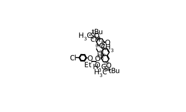 CCC(Oc1ccc(Cl)cc1)C(=O)O[C@H]1C[C@H](O[Si](C)(C)C(C)(C)C)C=C2C=C[C@H](C)[C@H](CC[C@@H]3C[C@@H](O[Si](C)(C)C(C)(C)C)CC(=O)O3)[C@H]21